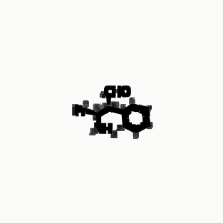 CC(C)[C@H](N)[C@H](C=O)c1ccccc1